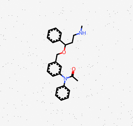 CNCCC(OCc1cccc(N(C(C)=O)c2ccccc2)c1)c1ccccc1